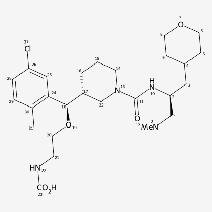 CNC[C@H](CC1CCOCC1)NC(=O)N1CCC[C@@H]([C@@H](OCCNC(=O)O)c2cc(Cl)ccc2C)C1